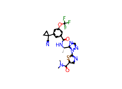 C[C@H](NC(=O)c1cc(OC(F)(F)F)cc(C2(C#N)CC2)c1)c1ncnn1-c1ncc(C(=O)N(C)C)s1